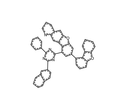 c1ccc(-c2nc(-c3ccc4ccccc4c3)nc(-c3cc(-c4cccc5oc6ccccc6c45)cc4oc5cc6cccnc6cc5c34)n2)cc1